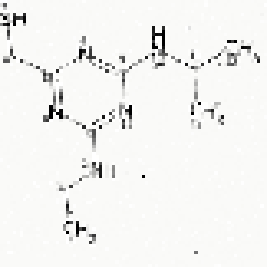 CCNc1nc(CS)nc(NC(C)C)n1